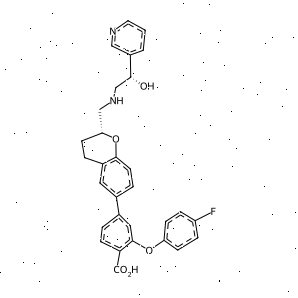 O=C(O)c1ccc(-c2ccc3c(c2)CC[C@H](CNC[C@@H](O)c2cccnc2)O3)cc1Oc1ccc(F)cc1